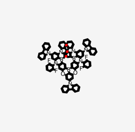 Fc1cccc(F)c1N1c2cc3c(cc2B2c4c1cc(-n1c5ccccc5c5ccccc51)cc4-n1c4ccccc4c4cccc2c41)B1c2cc4c(cc2Oc2cc(-n5c6ccccc6c6ccccc65)cc(c21)O3)N(c1c(F)cccc1F)c1cc(-n2c3ccccc3c3ccccc32)cc2c1B4c1cccc3c4ccccc4n-2c13